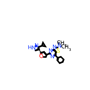 CN(C)c1nc2nc(C3=C[C@H](c4c[nH]nc4C4CC4)OCC3)nc(C3=CCCCC3)c2s1